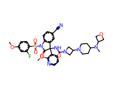 COc1ccc(S(=O)(=O)N2C(=O)C(NC(=O)N3CC(N4CCC(N(C)C5COC5)CC4)C3)(c3cccnc3OC)c3cc(C#N)ccc32)c(F)c1